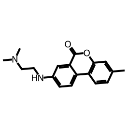 Cc1ccc2c(c1)oc(=O)c1cc(NCCN(C)C)ccc12